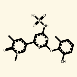 Cc1cccc(C#N)c1Oc1nc(NS(=O)(=O)C(C)C)cc(-c2cc(C)c(=O)n(C)c2)n1